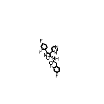 O=C(Cc1ccc(F)cc1F)Nc1onc(-c2ccc(F)cc2F)c1-c1ccncn1